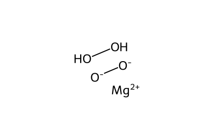 OO.[Mg+2].[O-][O-]